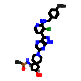 COc1ccc(CNc2nccc(-c3n[nH]c4nc(N5CCC6(CC5)C[C@H](O)C[C@H]6N[S+]([O-])C(C)(C)C)cnc34)c2Cl)cc1